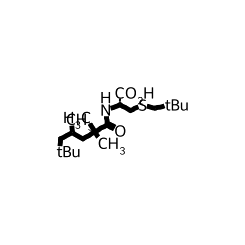 CC(CC(C)(C)C)CC(C)(C)C(=O)N[C@@H](CSCC(C)(C)C)C(=O)O